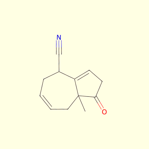 CC12CC=CCC(C#N)C1=CCC2=O